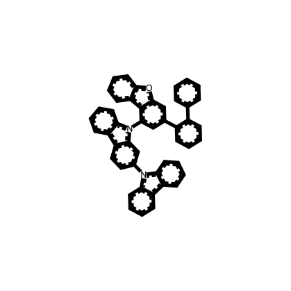 c1ccc(-c2ccccc2-c2cc(-n3c4ccccc4c4ccc(-n5c6ccccc6c6ccccc65)cc43)c3c(c2)oc2ccccc23)cc1